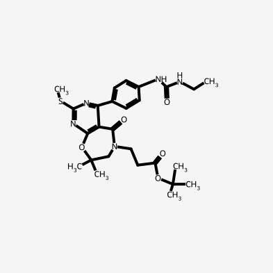 CCNC(=O)Nc1ccc(-c2nc(SC)nc3c2C(=O)N(CCC(=O)OC(C)(C)C)CC(C)(C)O3)cc1